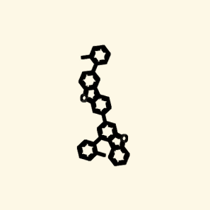 Cc1ccccc1-c1ccc2oc3cc(-c4cc(-c5ccccc5C)c5c(c4)oc4ccccc45)ccc3c2c1